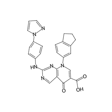 O=C(O)c1cn(-c2ccc3c(c2)CCC3)c2nc(Nc3ccc(-n4cccn4)cc3)ncc2c1=O